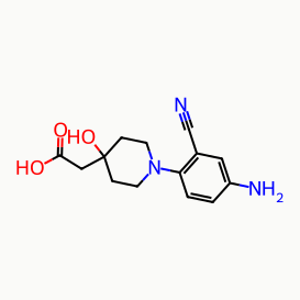 N#Cc1cc(N)ccc1N1CCC(O)(CC(=O)O)CC1